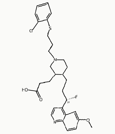 COc1ccc2nccc([C@@H](F)CCC3CCN(CCCSc4ccccc4Cl)CC3CCC(=O)O)c2c1